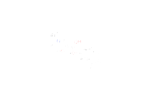 CC1CCc2ccc(OC(O)C3CN(C(C)C)CCO3)cc21